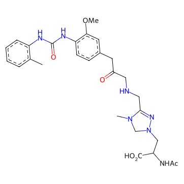 COc1cc(CC(=O)CNCC2=NN(CC(NC(C)=O)C(=O)O)CN2C)ccc1NC(=O)Nc1ccccc1C